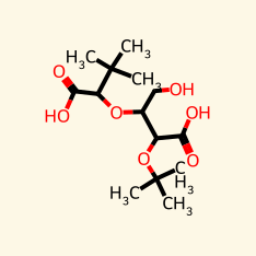 CC(C)(C)OC(C(=O)O)C(CO)OC(C(=O)O)C(C)(C)C